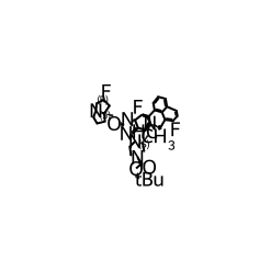 C#Cc1c(F)ccc2cccc(-c3ncc4c(N5CCN(C(=O)OC(C)(C)C)C[C@@H]5C)nc(OC[C@@]56CCCN5C[C@H](F)C6)nc4c3F)c12